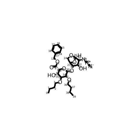 CCCCOC1[C@H](O)[C@H](C(=O)OCc2ccccc2)O[C@@H](O[C@@H]2C3CO[C@H](O3)[C@@H](N=[N+]=[N-])C2O)[C@H]1OCCCC